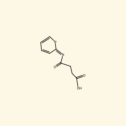 O=C(O)CCC(=O)N=C1C=CC=C[N]1